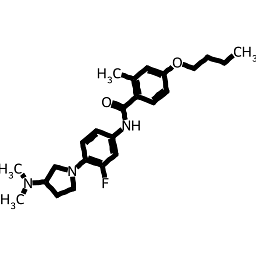 CCCCOc1ccc(C(=O)Nc2ccc(N3CCC(N(C)C)C3)c(F)c2)c(C)c1